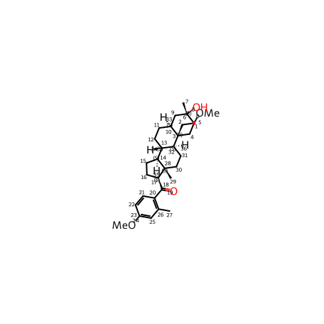 COCC[C@]12CC[C@@](C)(O)C[C@@H]1CC[C@H]1[C@@H]3CC[C@H](C(=O)c4ccc(OC)cc4C)[C@@]3(C)CC[C@@H]12